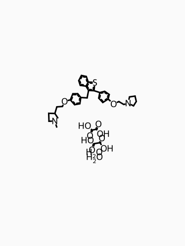 CN1CCC(CCOc2ccc(Cc3c(-c4ccc(OCCN5CCCC5)cc4)sc4ccccc34)cc2)C1.O.O.O=C(O)C(=O)O.O=C(O)C(=O)O